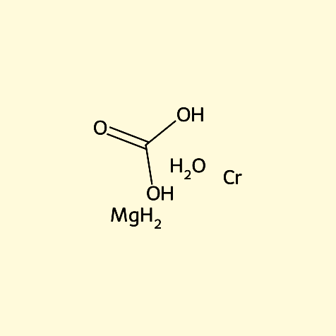 O.O=C(O)O.[Cr].[MgH2]